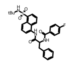 CC(C)(C)NS(=O)(=O)c1cccc2c(NC(=O)C(Cc3ccccc3)NC(=O)c3ccc(F)cc3)cccc12